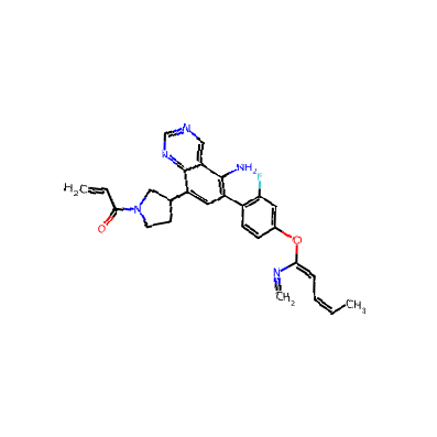 C=CC(=O)N1CCC(c2cc(-c3ccc(O/C(=C/C=C\C)N=C)cc3F)c(N)c3cncnc23)C1